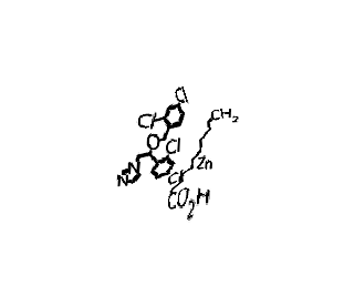 C=CCCCCCCCCC(=O)O.Clc1ccc(COC(Cn2ccnc2)c2ccc(Cl)cc2Cl)c(Cl)c1.[Zn]